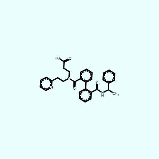 CC(NC(=O)c1ccccc1-c1ccccc1C(=O)N(CCC(=O)O)CCc1ccccn1)c1ccccc1